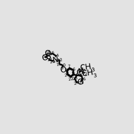 CN(C)CC1(c2ccc(OCCCN3CCS(=O)(=O)CC3)cc2)CCOCC1